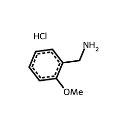 COc1ccccc1CN.Cl